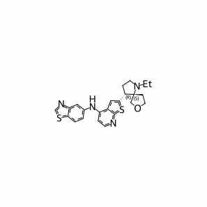 CCN1CC[C@@H](c2cc3c(Nc4ccc5scnc5c4)ccnc3s2)[C@]12CCOC2